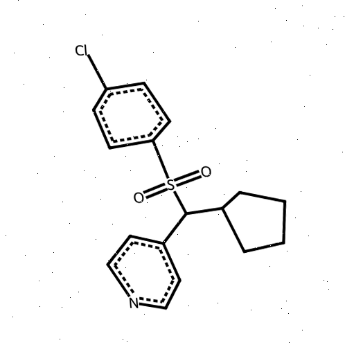 O=S(=O)(c1ccc(Cl)cc1)C(c1ccncc1)C1CCCC1